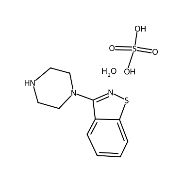 O.O=S(=O)(O)O.c1ccc2c(N3CCNCC3)nsc2c1